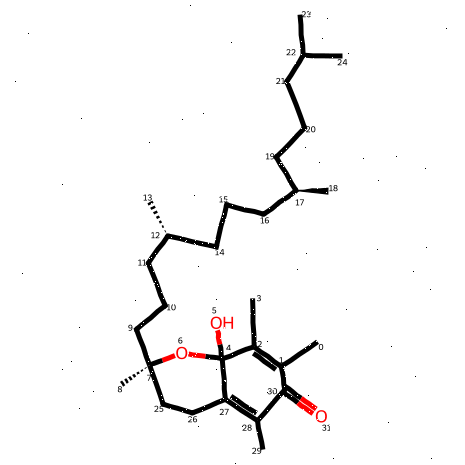 CC1=C(C)C2(O)O[C@](C)(CCC[C@H](C)CCC[C@H](C)CCCC(C)C)CCC2=C(C)C1=O